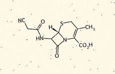 CC1=C(C(=O)O)N2C(=O)C(NC(=O)CC#N)[C@@H]2SC1